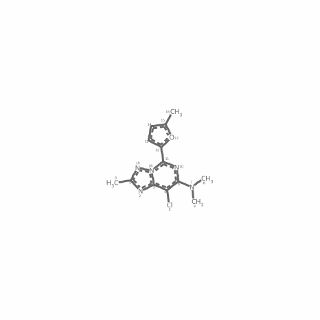 Cc1nc2c(Cl)c(N(C)C)nc(-c3ccc(C)o3)n2n1